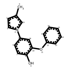 Cc1ccn(-c2ccc(O)c(Oc3ccccc3)c2)c1